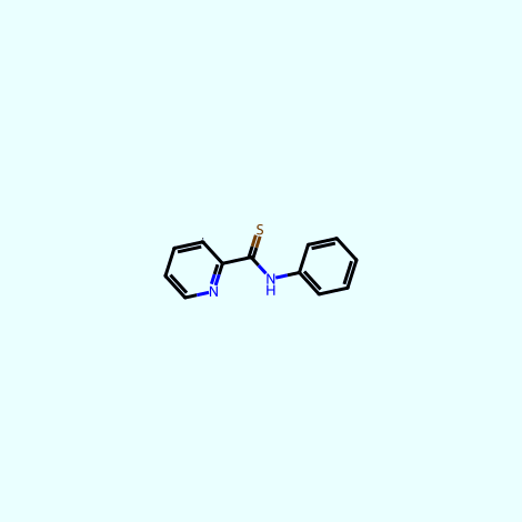 S=C(Nc1ccccc1)c1[c]cccn1